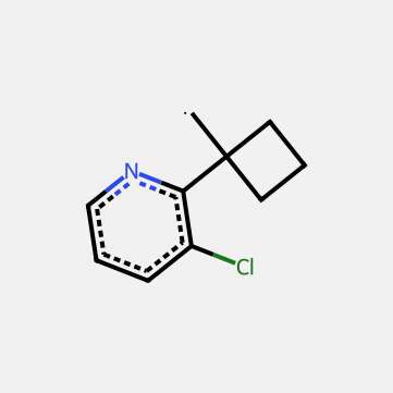 [CH2]C1(c2ncccc2Cl)CCC1